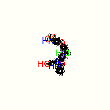 CS(=O)(=O)Nc1ccc(Oc2ccc(CN3CCC(N(CCCCO)C(=O)NC4CCCCC4)CC3)cc2)cc1.Cl